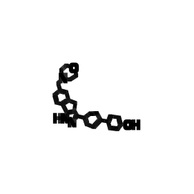 Oc1ccc(-c2ccc(-c3n[nH]c4c3Cc3cc(CN5CCOCC5)ccc3-4)cc2)cc1